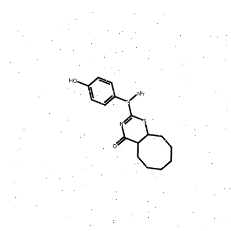 CCCN(C1=NC(=O)C2CCCCCCC2S1)c1ccc(O)cc1